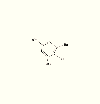 CCCc1cc(C(C)CC)c(O)c(C(C)CC)c1